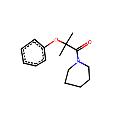 CC(C)(Oc1ccccc1)C(=O)N1CCCCC1